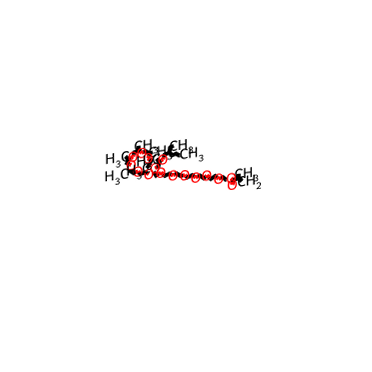 C=C(C)C(=O)OCCOCCOCCOCCOCCOCCOCCOCCOCC(C)OCC(C)OCC(C)OCC(C)OCC(C)OCC(C)OCC(CC)CCCC